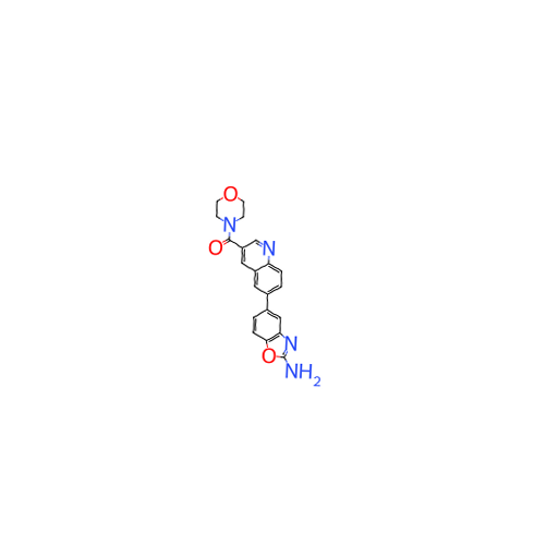 Nc1nc2cc(-c3ccc4ncc(C(=O)N5CCOCC5)cc4c3)ccc2o1